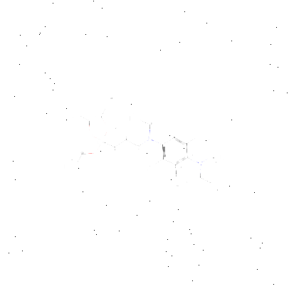 CCO[Si](CCCN(CC)c1cc(C)c(N([SiH3])CC)c(C)c1C)(OCC)OCC